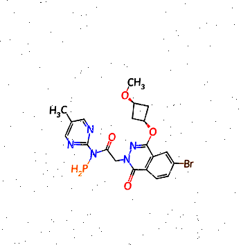 CO[C@H]1C[C@@H](Oc2nn(CC(=O)N(P)c3ncc(C)cn3)c(=O)c3ccc(Br)cc23)C1